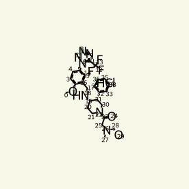 COc1ccc(-n2nnnc2C(F)(F)F)cc1CN[C@H]1CCN(C(=O)CN(C)C=O)C[C@H]1c1ccccc1.Cl